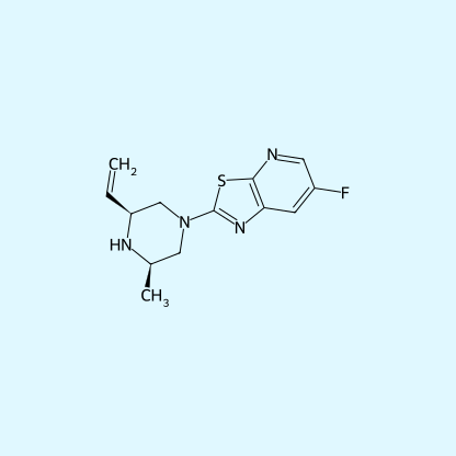 C=C[C@H]1CN(c2nc3cc(F)cnc3s2)C[C@@H](C)N1